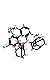 COc1ccc(OC)c(P(C2C3CC4CC(C3)CC2C4)C2C3CC4CC(C3)CC2C4)c1-c1c(C(C)C)cc(C(C)C)cc1C(C)C